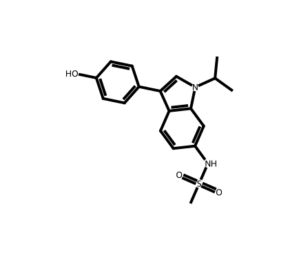 CC(C)n1cc(-c2ccc(O)cc2)c2ccc(NS(C)(=O)=O)cc21